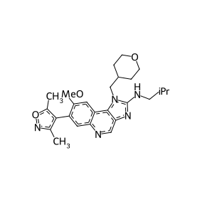 COc1cc2c(cc1-c1c(C)noc1C)ncc1nc(NCC(C)C)n(CC3CCOCC3)c12